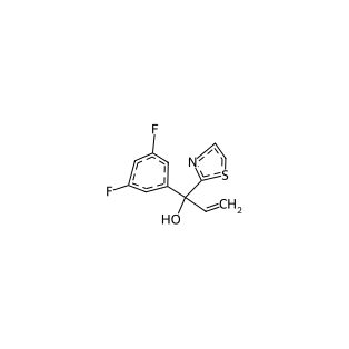 C=CC(O)(c1cc(F)cc(F)c1)c1nccs1